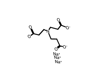 O=C([O-])CCN(CCC(=O)[O-])CCC(=O)[O-].[Na+].[Na+].[Na+]